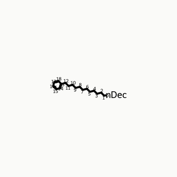 CCCCCCCCCCCCCCCCCCCCCCc1cc[c]cc1